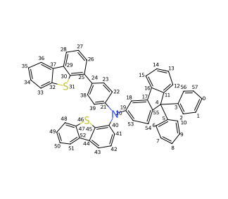 c1ccc(C2(c3ccccc3)c3ccccc3-c3cc(N(c4ccc(-c5cccc6c5sc5ccccc56)cc4)c4cccc5c4sc4ccccc45)ccc32)cc1